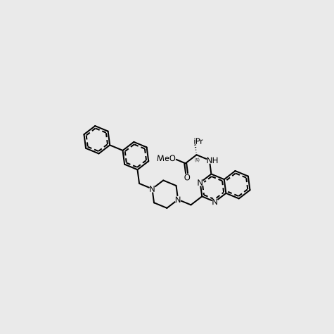 COC(=O)[C@@H](Nc1nc(CN2CCN(Cc3cccc(-c4ccccc4)c3)CC2)nc2ccccc12)C(C)C